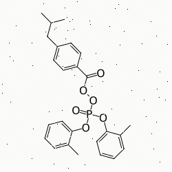 Cc1ccccc1OP(=O)(OOC(=O)c1ccc(CC(C)C)cc1)Oc1ccccc1C